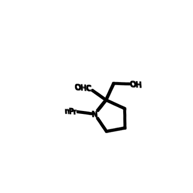 CCCN1CCCC1(C=O)CO